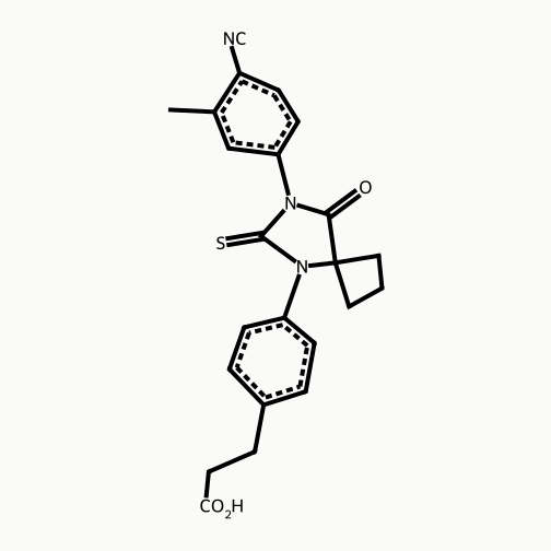 [C-]#[N+]c1ccc(N2C(=O)C3(CCC3)N(c3ccc(CCC(=O)O)cc3)C2=S)cc1C